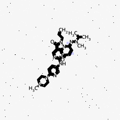 C=CCn1c(=O)c2cnc(Nc3ccc(N4CCN(C)CC4)nc3)nc2n1C(/C=C\C=O)=N/N(C)C(C)C